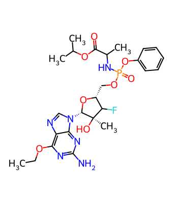 CCOc1nc(N)nc2c1ncn2[C@@H]1O[C@H](COP(=O)(NC(C)C(=O)OC(C)C)Oc2ccccc2)C(F)[C@@]1(C)O